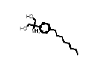 CCCCCCCCc1ccc(C(N)(CO)CO)cc1